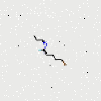 CC/C=N\C(F)=C/CCCBr